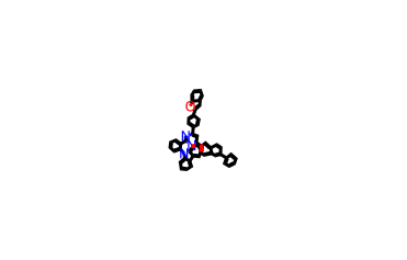 c1ccc(-c2ccc3cc(-c4cc(-c5ccc(-c6cc7ccccc7o6)cc5)nc(-c5ccccc5-n5c6ccccc6c6ccccc65)n4)ccc3c2)cc1